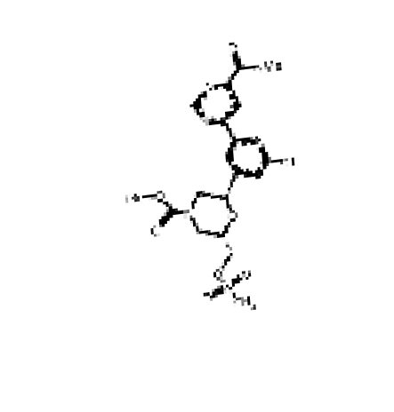 CNC(=O)c1cc(-c2cc([C@@H]3CN(C(=O)OC(C)(C)C)C[C@@H](COS(C)(=O)=O)O3)cc(Cl)n2)ncn1